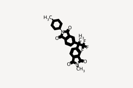 CN1C(=O)c2ccc(C(C)(c3ccc4c(c3)C(=O)N([C@H]3CC[C@H](C)CC3)C4=O)C(F)(F)F)cc2C1=O